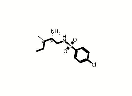 CC[C@H](C)[C@H](N)CNS(=O)(=O)c1ccc(Cl)cc1